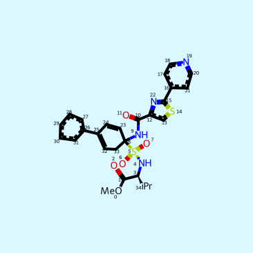 COC(=O)[C@@H](NS(=O)(=O)C1(NC(=O)c2csc(-c3ccncc3)n2)C=CC(c2ccccc2)=CC1)C(C)C